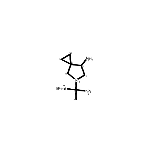 CCCCCC(C)(CCC)N1CC(N)C2(CC2)C1